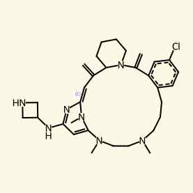 C=C1/C=C2/N=C(NC3CNC3)C=C(N(C)CCN(C)CCCc3ccc(Cl)cc3C(=C)N3CCCCC13)N2C